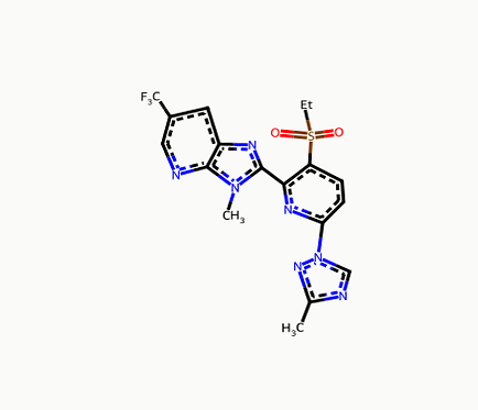 CCS(=O)(=O)c1ccc(-n2cnc(C)n2)nc1-c1nc2cc(C(F)(F)F)cnc2n1C